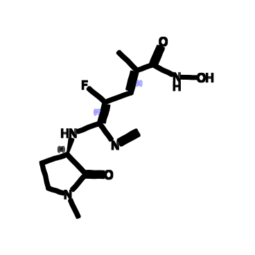 C=N/C(N[C@@H]1CCN(C)C1=O)=C(F)\C=C(/C)C(=O)NO